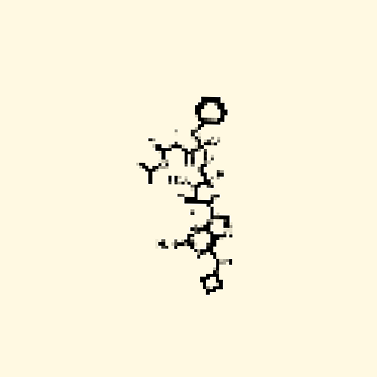 CC(C)OC(=O)[C@H](C)NP(=O)(OC[C@@]1(F)O[C@@H](n2cnc3c(NC4CCC4)nc(N)nc32)[C@](C)(F)[C@@H]1O)Oc1ccccc1